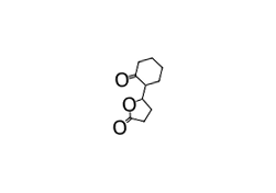 O=C1CCC(C2CCCCC2=O)O1